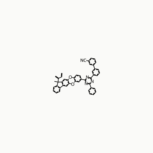 C=CC(=C)C1(C)c2ccccc2-c2cc3c(cc21)Oc1ccc(-c2nc(-c4ccccc4)nc(-c4cccc(-c5cccc(C#N)c5)c4)n2)cc1O3